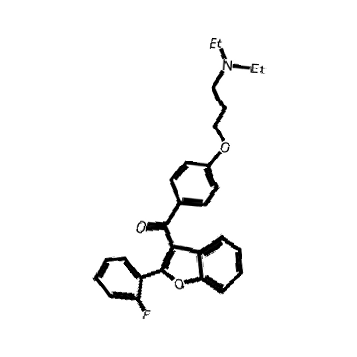 CCN(CC)CCCOc1ccc(C(=O)c2c(-c3ccccc3F)oc3ccccc23)cc1